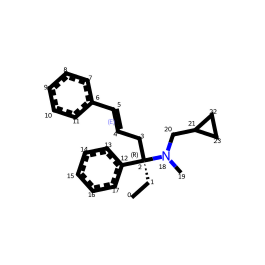 CC[C@@](C/C=C/c1ccccc1)(c1ccccc1)N(C)CC1CC1